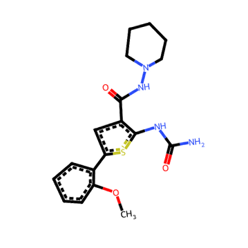 COc1ccccc1-c1cc(C(=O)NN2CCCCC2)c(NC(N)=O)s1